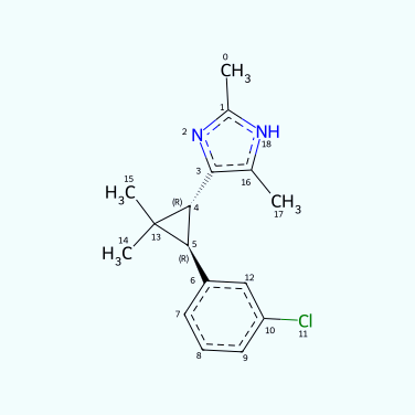 Cc1nc([C@@H]2[C@@H](c3cccc(Cl)c3)C2(C)C)c(C)[nH]1